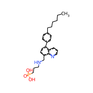 CCCCCCc1ccc(-c2ccc(CNCCCP(=O)(O)O)c3ncccc23)cc1